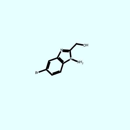 Nn1c(CO)nc2cc(Br)ccc21